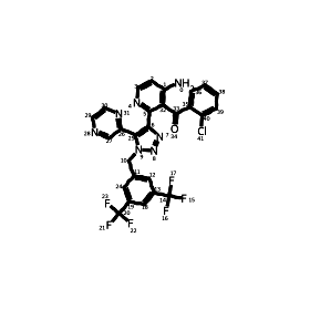 Nc1ccnc(-c2nnn(Cc3cc(C(F)(F)F)cc(C(F)(F)F)c3)c2-c2cnccn2)c1C(=O)c1ccccc1Cl